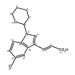 O=C(O)C=Cc1nn(C2CCCCO2)c2ccc(Cl)nc12